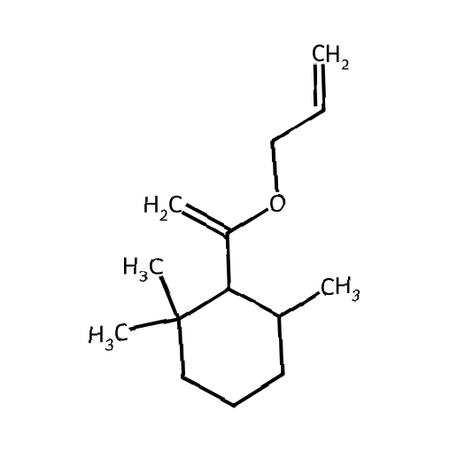 C=CCOC(=C)C1C(C)CCCC1(C)C